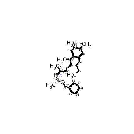 C=C1C=C(CCCC)C(N(C)C=C=C/C(C)=N\N(C)OCc2ccccc2)=CN1C